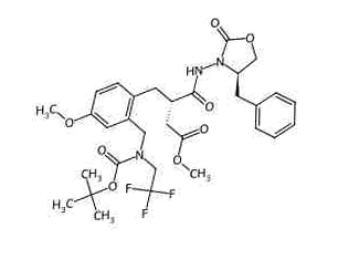 COC(=O)C[C@H](Cc1ccc(OC)cc1CN(CC(F)(F)F)C(=O)OC(C)(C)C)C(=O)NN1C(=O)OC[C@H]1Cc1ccccc1